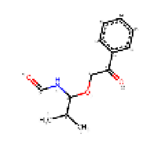 CC(C)C(N[C]=O)OCC(=O)c1ccccc1